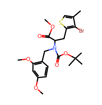 COC(=O)C(Cc1scc(C)c1Br)N(Cc1ccc(OC)cc1OC)C(=O)OC(C)(C)C